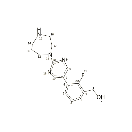 OCc1cccc(-c2cnc(N3CCCNCC3)nc2)c1F